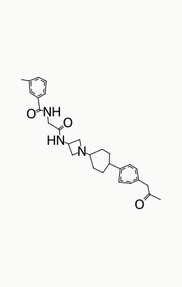 CC(=O)Cc1ccc(C2CCC(N3CC(NC(=O)CNC(=O)c4cccc(C)c4)C3)CC2)cc1